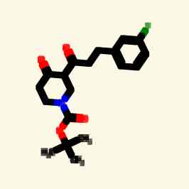 CC(C)(C)OC(=O)N1CCC(=O)C(C(=O)CCc2cccc(F)c2)C1